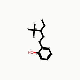 CCC(CCc1ccccc1O)C(C)(C)C